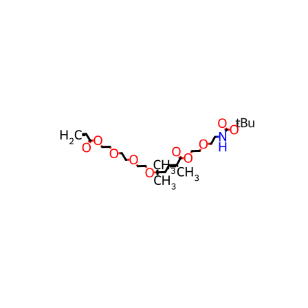 C=CC(=O)OCCOCCOCCOC(C)(C)C/C=C(\C)C(=O)OCCOCCNC(=O)OC(C)(C)C